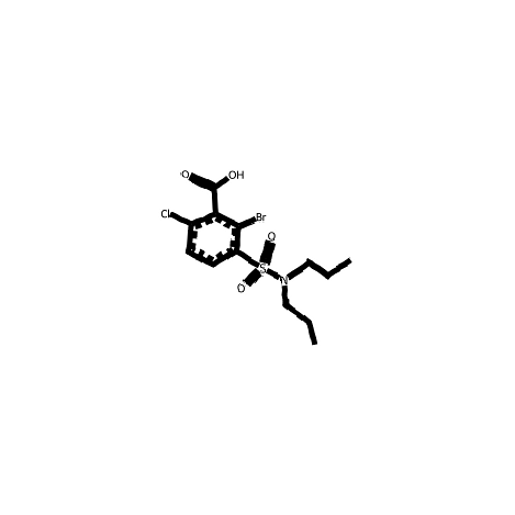 CCCN(CCC)S(=O)(=O)c1ccc(Cl)c(C(=O)O)c1Br